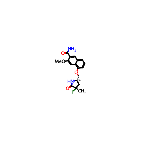 COc1cc2c(OC[C@@H]3C[C@](C)(F)C(=O)N3)cccc2cc1C(N)=O